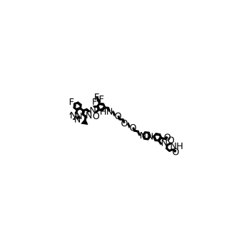 Cn1cnnc1-c1cc(F)ccc1-c1cc(C2CC2)nc(N2Cc3c(cc(CNCCOCCOCCOCCCN4CCN(c5ccc6c(c5)CN(C5CCC(=O)NC5=O)C6=O)CC4)cc3C(F)(F)F)C2=O)c1